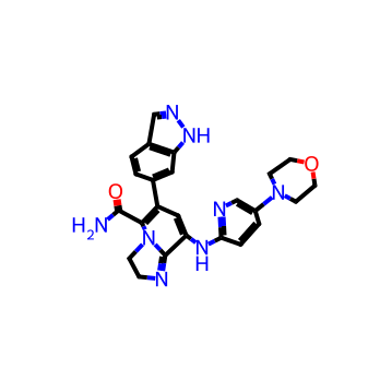 NC(=O)C1=C(c2ccc3cn[nH]c3c2)C=C(Nc2ccc(N3CCOCC3)cn2)C2=NCCN21